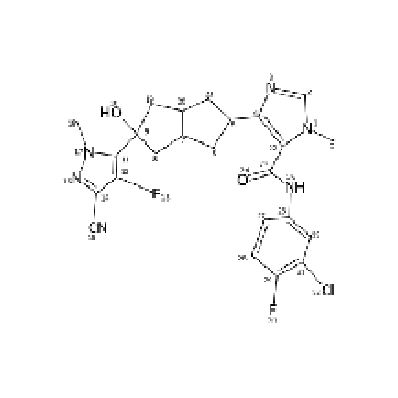 Cn1cnc(C2CC3CC(O)(c4c(F)c(C#N)nn4C)CC3C2)c1C(=O)Nc1ccc(F)c(Cl)c1